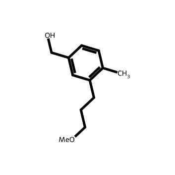 COCCCc1cc(CO)ccc1C